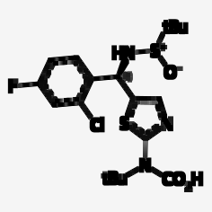 CC(C)(C)N(C(=O)O)c1ncc([C@H](N[S+]([O-])C(C)(C)C)c2ccc(F)cc2Cl)s1